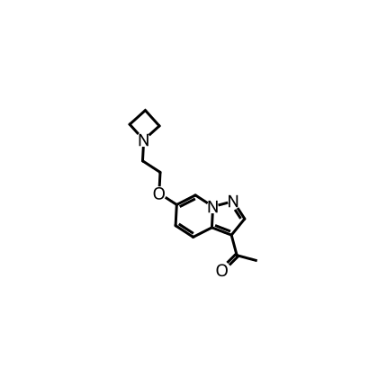 CC(=O)c1cnn2cc(OCCN3CCC3)ccc12